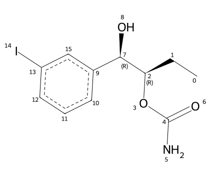 CC[C@@H](OC(N)=O)[C@H](O)c1cccc(I)c1